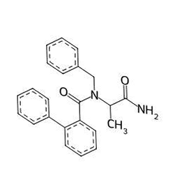 CC(C(N)=O)N(Cc1ccccc1)C(=O)c1ccccc1-c1ccccc1